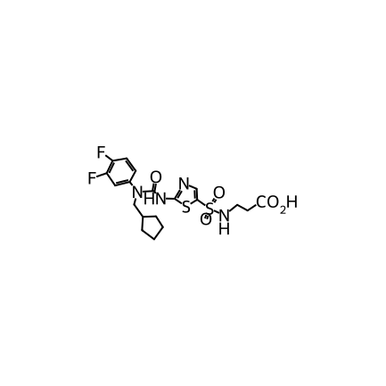 O=C(O)CCNS(=O)(=O)c1cnc(NC(=O)N(CC2CCCC2)c2ccc(F)c(F)c2)s1